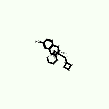 Oc1ccc2c(c1)[C@]13CCCC[C@@]1(O)[C@H](C2)N(CC1CCC1)CC3